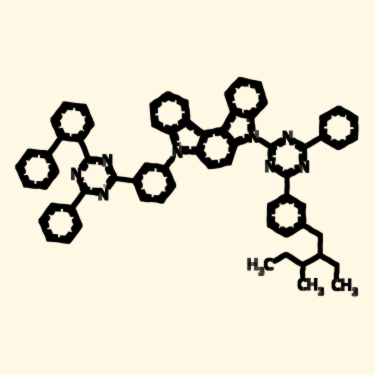 CCC(C)C(CC)Cc1cccc(-c2nc(-c3ccccc3)nc(-n3c4ccccc4c4c5c6ccccc6n(-c6cccc(-c7nc(-c8ccccc8)nc(-c8ccccc8-c8ccccc8)n7)c6)c5ccc43)n2)c1